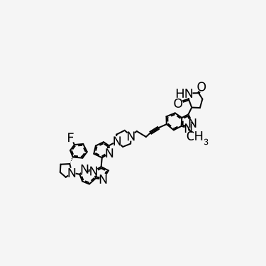 Cn1nc(C2CCC(=O)NC2=O)c2ccc(C#CCCN3CCN(c4cccc(-c5cnc6ccc(N7CCC[C@@H]7c7cccc(F)c7)nn56)n4)CC3)cc21